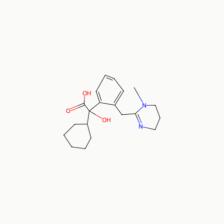 CN1CCCN=C1Cc1ccccc1C(O)(C(=O)O)C1CCCCC1